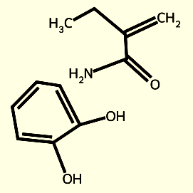 C=C(CC)C(N)=O.Oc1ccccc1O